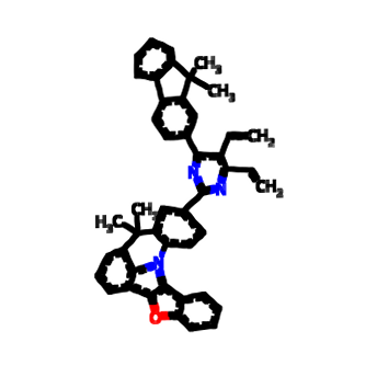 C=Cc1nc(-c2ccc3c(c2)C(C)(C)c2cccc4c5oc6ccccc6c5n-3c24)nc(-c2ccc3c(c2)C(C)(C)c2ccccc2-3)c1C=C